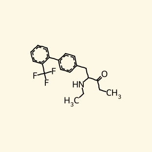 CCNC(Cc1ccc(-c2ccccc2C(F)(F)F)cc1)C(=O)CC